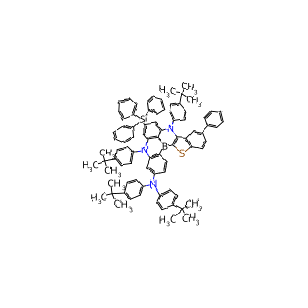 CC(C)(C)c1ccc(N(c2ccc(C(C)(C)C)cc2)c2ccc3c(c2)N(c2ccc(C(C)(C)C)cc2)c2cc([Si](c4ccccc4)(c4ccccc4)c4ccccc4)cc4c2B3c2sc3ccc(-c5ccccc5)cc3c2N4c2ccc(C(C)(C)C)cc2)cc1